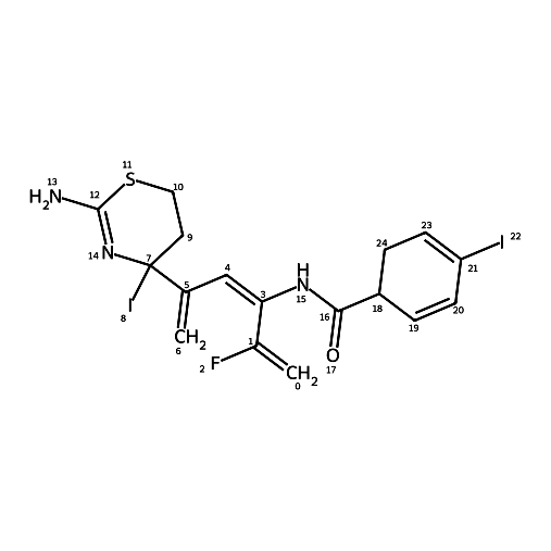 C=C(F)/C(=C\C(=C)C1(I)CCSC(N)=N1)NC(=O)C1C=CC(I)=CC1